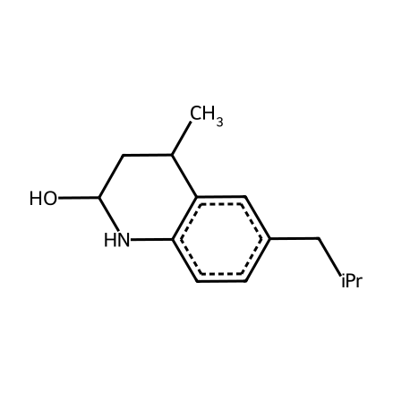 CC(C)Cc1ccc2c(c1)C(C)CC(O)N2